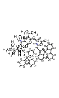 C/C=C(/NC(=O)[C@@H](CSC(c1ccccc1)(c1ccccc1)c1ccccc1)NC(=O)[C@H](N)C(C)C)C(=O)N[C@H](C(=O)O[C@H](/C=C/CCSC(c1ccccc1)(c1ccccc1)c1ccccc1)CC(=O)O)C(C)C